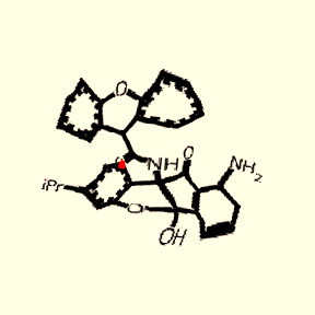 CC(C)c1ccc2c(c1)OC1(O)C3=C(C(=O)C21NC(=O)C1c2ccccc2Oc2ccccc21)C(N)CC=C3